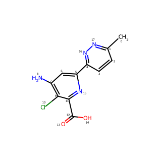 Cc1ccc(-c2cc(N)c(Cl)c(C(=O)O)n2)nn1